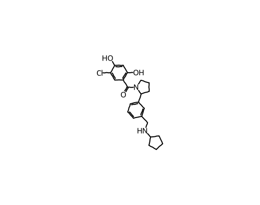 O=C(c1cc(Cl)c(O)cc1O)N1CCCC1c1cccc(CNC2CCCC2)c1